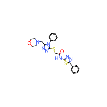 O=C(CSc1nnc(CN2CCOCC2)n1-c1ccccc1)Nc1nnc(-c2ccccc2)s1